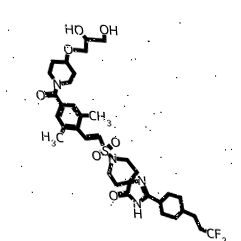 Cc1cc(C(=O)N2CCC(OCC(O)CO)CC2)cc(C)c1C=CS(=O)(=O)N1CCC2(CC1)N=C(C1CCC(CCC(F)(F)F)CC1)NC2=O